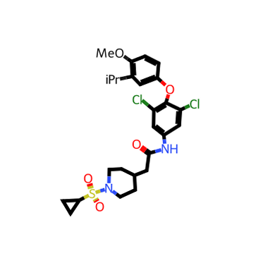 COc1ccc(Oc2c(Cl)cc(NC(=O)CC3CCN(S(=O)(=O)C4CC4)CC3)cc2Cl)cc1C(C)C